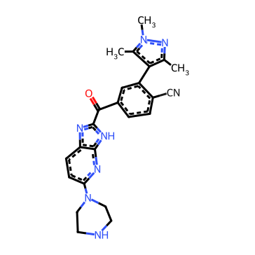 Cc1nn(C)c(C)c1-c1cc(C(=O)c2nc3ccc(N4CCNCC4)nc3[nH]2)ccc1C#N